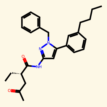 CCCCc1cccc(-c2cc(NC(=O)[C@@H](CC)CC(C)=O)nn2Cc2ccccc2)c1